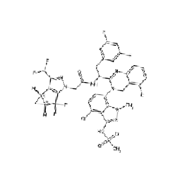 Cn1nc(NS(C)(=O)=O)c2c(Cl)ccc(N3Cc4c(Cl)cccc4N=C3C(Cc3cc(F)cc(F)c3)NC(=O)Cn3nc(C(F)F)c4c3C(F)(F)[C@@H]3C[C@H]43)c21